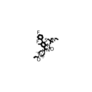 C=CC(=O)N1[C@H](C)CN(c2nc(=O)n3c4c(c(-c5ccc(F)cc5F)c(C)cc24)SCC2(CN(CC)C2)C3)C[C@@H]1C